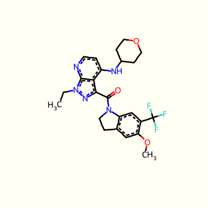 CCn1nc(C(=O)N2CCc3cc(OC)c(C(F)(F)F)cc32)c2c(NC3CCOCC3)ccnc21